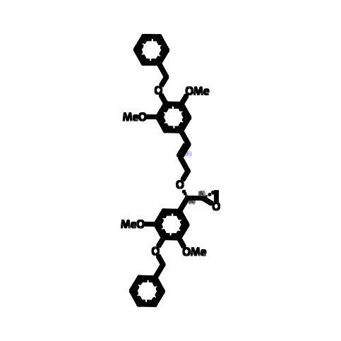 COc1cc(/C=C/CO[C@@H](c2cc(OC)c(OCc3ccccc3)c(OC)c2)[C@@H]2CO2)cc(OC)c1OCc1ccccc1